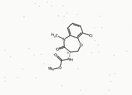 CN1C(=O)[C@@H](NC(=O)OC(C)(C)C)COc2c(Cl)cccc21